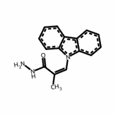 C/C(=C/n1c2ccccc2c2ccccc21)C(=O)NN